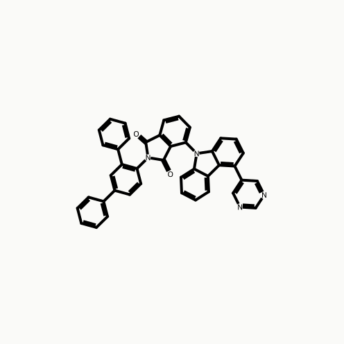 O=C1c2cccc(-n3c4ccccc4c4c(-c5cncnc5)cccc43)c2C(=O)N1c1ccc(-c2ccccc2)cc1-c1ccccc1